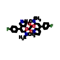 CN(C)C(C=C(c1ccc(F)cc1)c1cccnc1)OC(=O)C(=O)OC(C=C(c1ccc(F)cc1)c1cccnc1)N(C)C